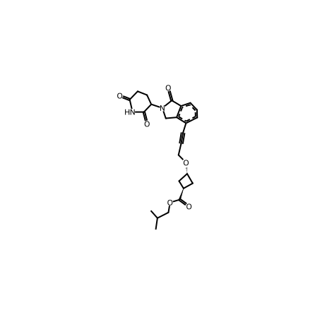 CC(C)COC(=O)[C@H]1C[C@H](OCC#Cc2cccc3c2CN(C2CCC(=O)NC2=O)C3=O)C1